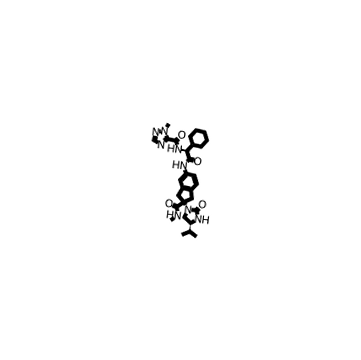 CNC(=O)C1(N2C[C@@H](C(C)C)NC2=O)Cc2ccc(NC(=O)[C@@H](NC(=O)c3ncnn3C)C3CCCCC3)cc2C1